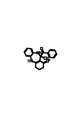 CC1(C(=O)c2ccccc2)Nc2ccccc2NC2=C1C(=O)CCC2